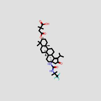 CC(C)C1=C2C3CCC4[C@@]5(C)CC[C@H](OC(=O)CC(C)(C)C(=O)O)C(C)(C)C5CC[C@@]4(C)[C@]3(C)CC[C@@]2(NC(=O)NC(C)(C)C(F)(F)F)CC1=O